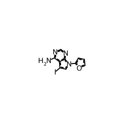 Nc1ncnc2c1c(I)cn2-c1ccco1